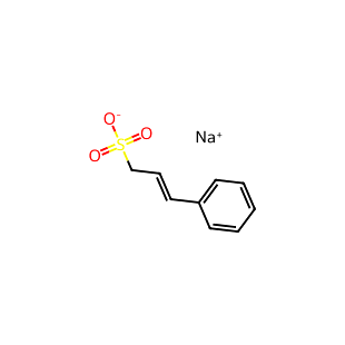 O=S(=O)([O-])CC=Cc1ccccc1.[Na+]